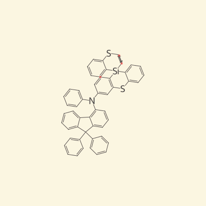 c1ccc(N(c2ccc3c(c2)Sc2ccccc2[Si]32c3ccccc3Sc3ccccc32)c2cccc3c2-c2ccccc2C3(c2ccccc2)c2ccccc2)cc1